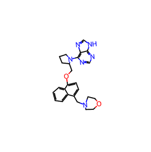 c1ccc2c(OCC3CCCN3c3ncnc4[nH]cnc34)ccc(CN3CCOCC3)c2c1